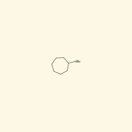 C[CH]CCC1CCCCCC1